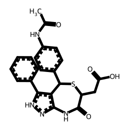 CC(=O)Nc1ccc(C2SC(CC(=O)O)C(=O)Nc3n[nH]c(-c4ccccc4)c32)cc1